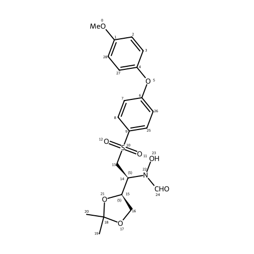 COc1ccc(Oc2ccc(S(=O)(=O)C[C@H]([C@H]3COC(C)(C)O3)N(O)C=O)cc2)cc1